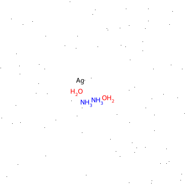 N.N.O.O.[Ag]